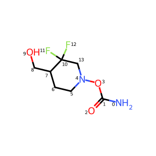 NC(=O)ON1CCC(CO)C(F)(F)C1